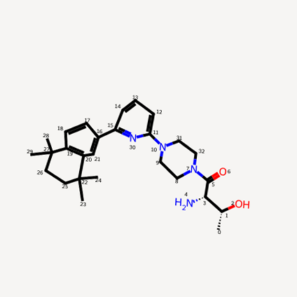 C[C@@H](O)[C@H](N)C(=O)N1CCN(c2cccc(-c3ccc4c(c3)C(C)(C)CCC4(C)C)n2)CC1